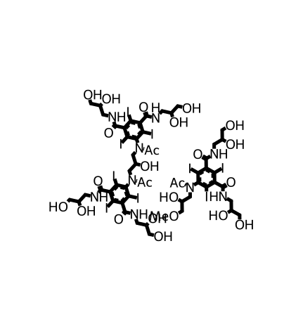 CC(=O)N(CC(O)CN(C(C)=O)c1c(I)c(C(=O)NCC(O)CO)c(I)c(C(=O)NCC(O)CO)c1I)c1c(I)c(C(=O)NCC(O)CO)c(I)c(C(=O)NCC(O)CO)c1I.COCC(O)CN(C(C)=O)c1c(I)c(C(=O)NCC(O)CO)c(I)c(C(=O)NCC(O)CO)c1I